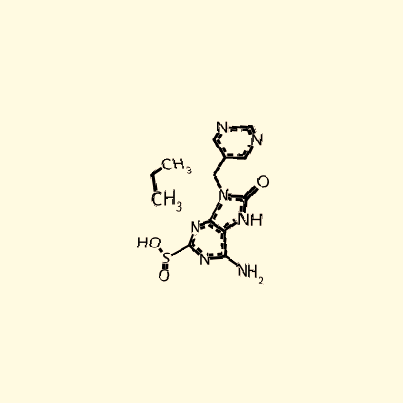 CCC.Nc1nc(S(=O)O)nc2c1[nH]c(=O)n2Cc1cncnc1